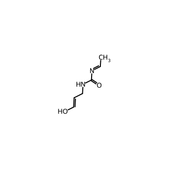 CC=NC(=O)NCC=CO